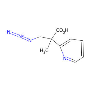 CC(CN=[N+]=[N-])(C(=O)O)c1ccccn1